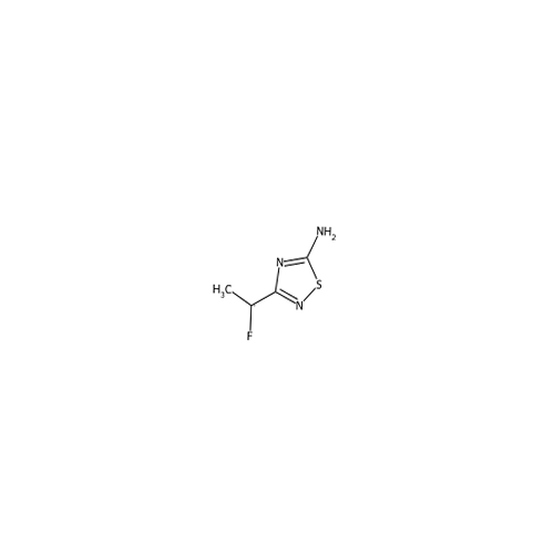 C[C](F)c1nsc(N)n1